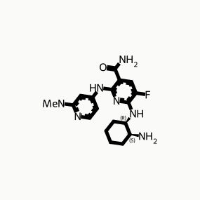 CNc1cc(Nc2nc(N[C@@H]3CCCC[C@@H]3N)c(F)cc2C(N)=O)ccn1